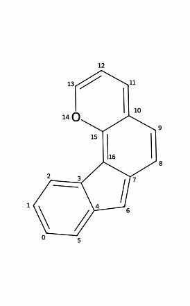 c1ccc2c(c1)cc1ccc3cccoc3c12